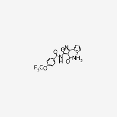 NC(=O)c1c(-c2cccs2)noc1NC(=O)c1ccc(OC(F)(F)F)cc1